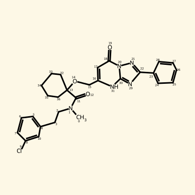 CN(CCc1cccc(Cl)c1)C(=O)C1(OCc2cc(=O)n3nc(-c4ccccc4)nc3[nH]2)CCCCC1